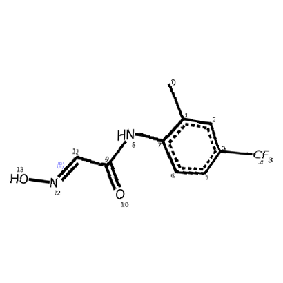 Cc1cc(C(F)(F)F)ccc1NC(=O)/C=N/O